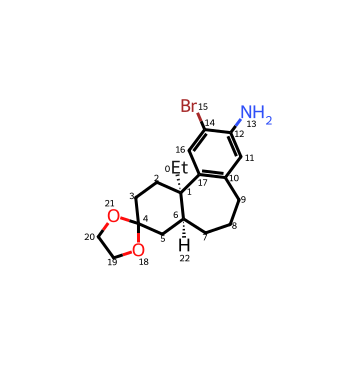 CC[C@@]12CCC3(C[C@@H]1CCCc1cc(N)c(Br)cc12)OCCO3